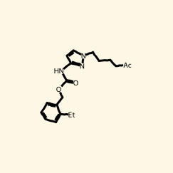 CCc1ccccc1COC(=O)Nc1ccn(CCCCC(C)=O)n1